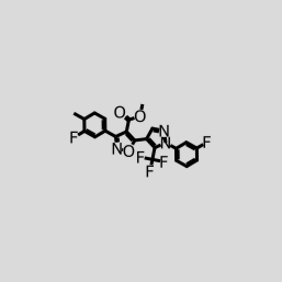 COC(=O)c1c(C2=CCC(C)C(F)=C2)noc1-c1cnn(-c2cccc(F)c2)c1C(F)(F)F